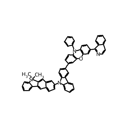 C[Si]1(C)c2ccccc2-c2cc3ccc(-n4c5ccccc5c5cc(-c6ccc7c(c6)Oc6cc(-c8nccc9ccccc89)ccc6N7c6ccccc6)ccc54)cc3cc21